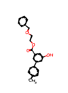 Cc1ccc(-c2cc(O)cc(C(=O)OCCOCc3ccccc3)c2)cc1